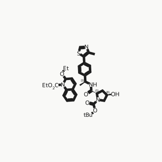 CCOC(=O)N1c2ccccc2C=CC1OCC.Cc1ncsc1-c1ccc([C@H](C)NC(=O)[C@@H]2C[C@@H](O)CN2C(=O)OC(C)(C)C)cc1